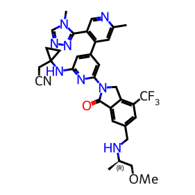 COC[C@@H](C)NCc1cc2c(c(C(F)(F)F)c1)CN(c1cc(-c3cc(C)ncc3-c3nncn3C)cc(NC3(CC#N)CC3)n1)C2=O